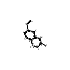 [CH2]c1cnc2ccc(C=C)cc2c1